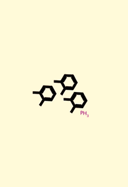 Cc1ccccc1C.Cc1ccccc1C.Cc1ccccc1C.P